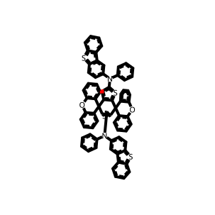 c1ccc(N(c2ccc3sc4ccccc4c3c2)c2cc3c(s2)C2(c4ccccc4Oc4ccccc42)c2cc(N(c4ccccc4)c4ccc5sc6ccccc6c5c4)sc2C32c3ccccc3Oc3ccccc32)cc1